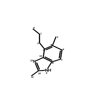 CCCc1c(C)ccc2[nH]c(C)nc12